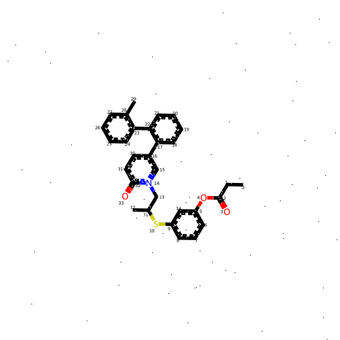 CCC(=O)Oc1cccc(SC(C)Cn2cc(-c3ccccc3-c3ccccc3C)ccc2=O)c1